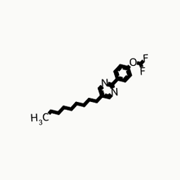 CCCCCCCCCc1cnc(-c2ccc(OC(F)F)cc2)nc1